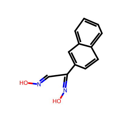 ON=CC(=NO)c1ccc2ccccc2c1